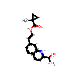 CC(O)c1ccc2ccc(C=COC(=O)C3(C)CC3)cc2n1